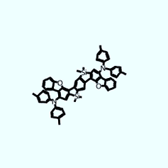 Cc1ccc(N(c2ccc(C)cc2)c2cc3c(c4oc5ccccc5c24)-c2cc4c(cc2[Si]3(C)C)-c2c(cc(N(c3ccc(C)cc3)c3ccc(C)cc3)c3c2oc2ccccc23)[Si]4(C)C)cc1